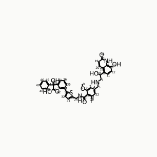 COc1cc(CNCC(O)c2ccc(O)c3[nH]c(=O)ccc23)cc(F)c1C(=O)NCc1ccc(-c2cccc(C(O)(C(=O)O)c3ccccc3)c2)s1